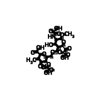 COC1O[C@H](C(=O)S(=O)(=O)O)C(COCC2O[C@H](C(=O)O)C(C)[C@H](O)C2OS(=O)(=O)O)[C@H](O)C1NS(=O)(=O)O